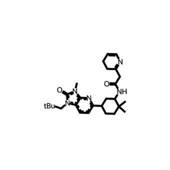 Cn1c(=O)n(CC(C)(C)C)c2ccc(C3CCC(C)(C)C(NC(=O)CC4=NC=CCC4)C3)nc21